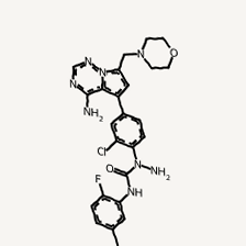 Cc1ccc(F)c(NC(=O)N(N)c2ccc(-c3cc(CN4CCOCC4)n4ncnc(N)c34)cc2Cl)c1